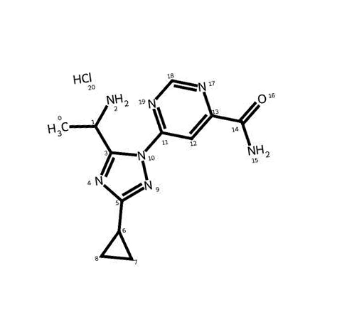 CC(N)c1nc(C2CC2)nn1-c1cc(C(N)=O)ncn1.Cl